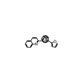 c1coc([C]23[CH]4[CH]5[C]6(c7ccc8ccccc8n7)[CH]2[Fe]54632789[CH]3[CH]2[CH]7[CH]8[CH]39)c1